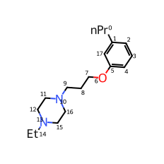 CCCc1cccc(OCCCN2CCN(CC)CC2)c1